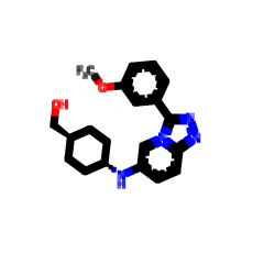 OC[C@H]1CC[C@H](Nc2ccc3nnc(-c4cccc(OC(F)(F)F)c4)n3c2)CC1